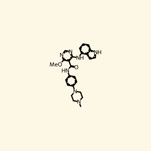 COc1ncnc(Nc2cccc3[nH]ccc23)c1C(=O)Nc1ccc(N2CCN(C)CC2)cc1